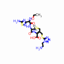 CCO/N=C(\C(=O)NC1C(=O)N2C(C(=O)O)=C(CSc3nnnn3CCN)CS[C@@H]12)c1nsc(N)n1